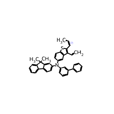 C=Cc1c(/C=C\C)sc2ccc(N(c3cccc(-c4ccccc4)c3)c3ccc4c(c3)C(C)(C)c3ccccc3-4)cc12